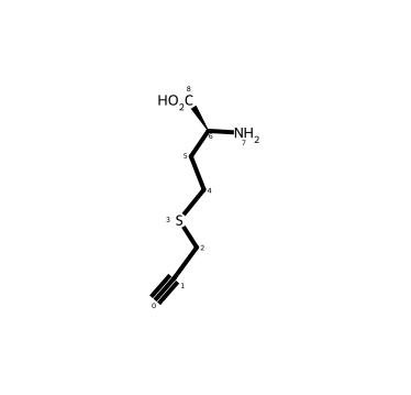 C#CCSCC[C@H](N)C(=O)O